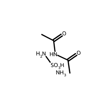 CC(=O)NC(C)=O.N.NS(=O)(=O)O